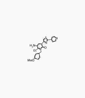 CCc1c(N)cc(-c2csc(-c3ccncc3)n2)c(=O)n1Cc1ccc(OC)cc1